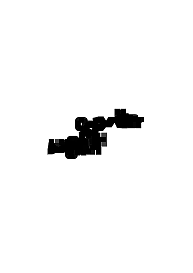 O=C(NCC1CC1)Oc1n[nH]c2c1CC1=C(CC3(CCC(/C=C/c4ccc(Br)cn4)C3)CC1=O)N2